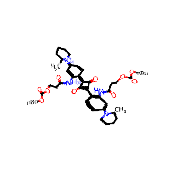 CCCCOC(=O)OCCC(=O)NC1=CC(=[N+]2/CCCCC2C)/C=CC/1=C1\C(=O)C(c2ccc(N3CCCCC3C)cc2NC(=O)CCOC(=O)OCCCC)=C1[O-]